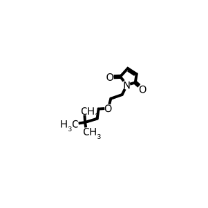 CC(C)(C)CCOCCN1C(=O)C=CC1=O